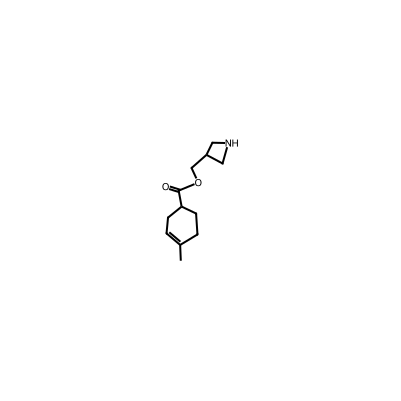 CC1=CCC(C(=O)OCC2CNC2)CC1